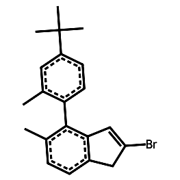 Cc1cc(C(C)(C)C)ccc1-c1c(C)ccc2c1C=C(Br)C2